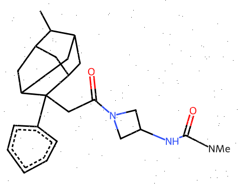 CNC(=O)NC1CN(C(=O)CC2(c3ccccc3)C3CC4CC2CC(C3)C4C)C1